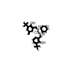 C=C1C=C(C(C)(C)C)C(O)=C(C=[N+]2[Co][N+](=Cc3cccc(C(C)(C)C)c3O)[C@H]3CCCC[C@@H]32)C1.[Cl-]